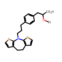 CCOC(Cc1ccc(CCCN2c3sccc3CCc3ccsc32)cc1)C(=O)O